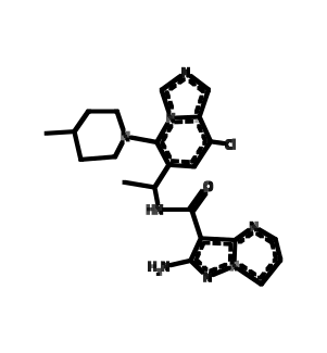 CC1CCN(c2c(C(C)NC(=O)c3c(N)nn4cccnc34)cc(Cl)c3cncn23)CC1